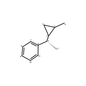 C[C]1CC1[C@H](C)c1ccccc1